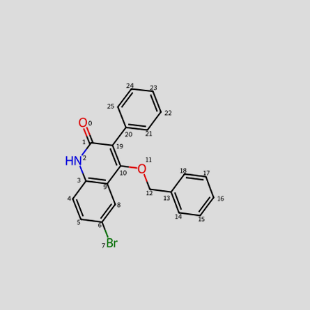 O=c1[nH]c2ccc(Br)cc2c(OCc2ccccc2)c1-c1ccccc1